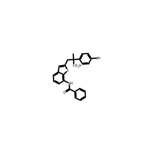 CC(C)c1ccc(C(C)(Cc2cc3cccc(NC(=O)c4ccccc4)c3s2)C(=O)O)cc1